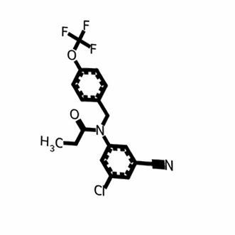 CCC(=O)N(Cc1ccc(OC(F)(F)F)cc1)c1cc(Cl)cc(C#N)c1